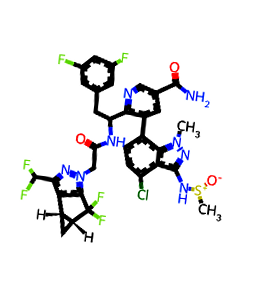 Cn1nc(N[S+](C)[O-])c2c(Cl)ccc(-c3cc(C(N)=O)cnc3C(Cc3cc(F)cc(F)c3)NC(=O)Cn3nc(C(F)F)c4c3C(F)(F)[C@@H]3C[C@H]43)c21